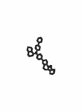 c1ccc(-c2ccc(N(c3ccc(-c4ccc5c(ccc6c7cccnc7oc56)c4)cc3)c3cccc4ccccc34)cc2)cc1